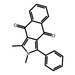 Cc1c2c(c(-c3ccccc3)n1C)C(=O)c1ccccc1C2=O